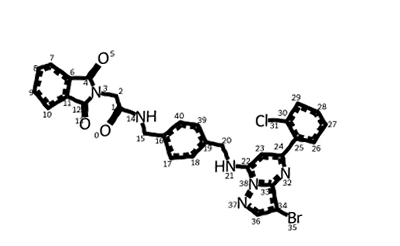 O=C(CN1C(=O)c2ccccc2C1=O)NCc1ccc(CNc2cc(-c3ccccc3Cl)nc3c(Br)cnn23)cc1